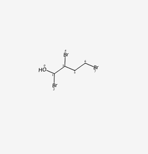 OC(Br)C(Br)CCBr